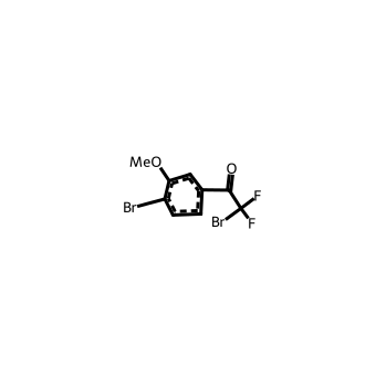 COc1cc(C(=O)C(F)(F)Br)ccc1Br